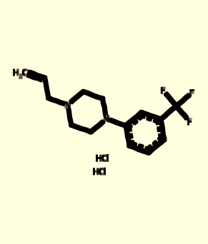 C=CCN1CCN(c2cccc(C(F)(F)F)c2)CC1.Cl.Cl